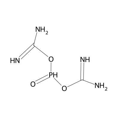 N=C(N)O[PH](=O)OC(=N)N